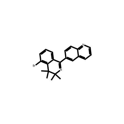 CC1(C)N=C(c2ccc3ncccc3c2)c2cccc(Br)c2C1(C)C